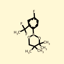 CC(F)(F)c1cc(F)ccc1B1OCC(C)(C)C(C)(C)O1